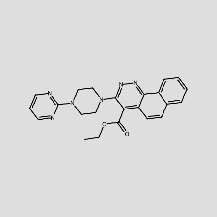 CCOC(=O)c1c(N2CCN(c3ncccn3)CC2)nnc2c1ccc1ccccc12